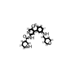 O=C(Nc1cc(-c2cc(NCC3CCOCC3)ccc2F)c(Cl)cn1)[C@@H]1CCCNC1